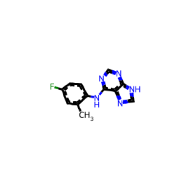 Cc1cc(F)ccc1Nc1ncnc2[nH]cnc12